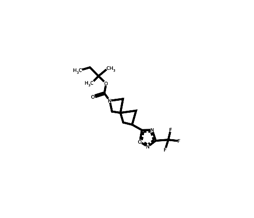 CCC(C)(C)OC(=O)N1CC2(CC(c3nc(C(F)(F)F)no3)C2)C1